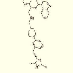 O=C1NC(=O)/C(=C/c2ccnc(N3CCC(CNCc4nc(-c5ccnc6ccccc56)cc5ccccc45)CC3)n2)S1